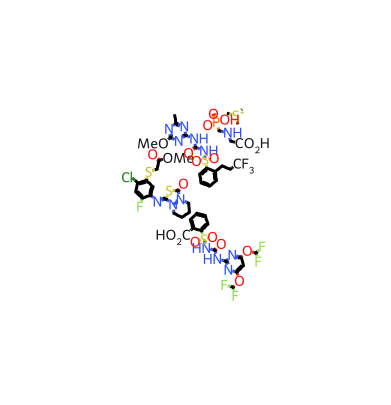 COC(=O)CSc1cc(/N=c2\sc(=O)n3n2CCCC3)c(F)cc1Cl.COc1nc(C)nc(NC(=O)NS(=O)(=O)c2ccccc2CCC(F)(F)F)n1.C[S+](C)C.O=C(Nc1nc(OC(F)F)cc(OC(F)F)n1)NS(=O)(=O)c1ccccc1C(=O)O.O=C(O)CNCP(=O)([O-])O